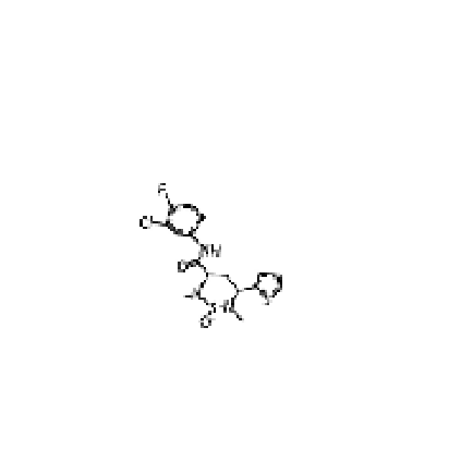 CN1C(C(=O)Nc2ccc(F)c(Cl)c2)CC(c2cccs2)N(C)[S+]1[O-]